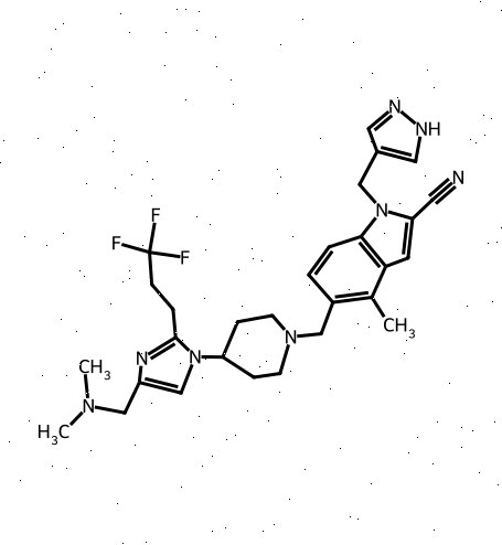 Cc1c(CN2CCC(n3cc(CN(C)C)nc3CCC(F)(F)F)CC2)ccc2c1cc(C#N)n2Cc1cn[nH]c1